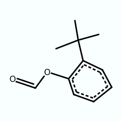 CC(C)(C)c1ccccc1OC=O